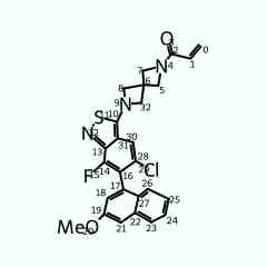 C=CC(=O)N1CC2(C1)CN(c1snc3c(F)c(-c4cc(OC)cc5ccccc45)c(Cl)cc13)C2